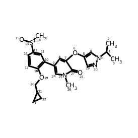 CC(C)n1cc(Oc2cc(-c3cc([S+](C)[O-])ccc3OCC3CC3)cn(C)c2=O)cn1